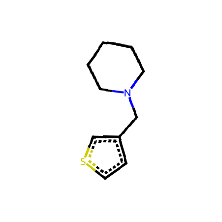 c1cc(CN2CCCCC2)cs1